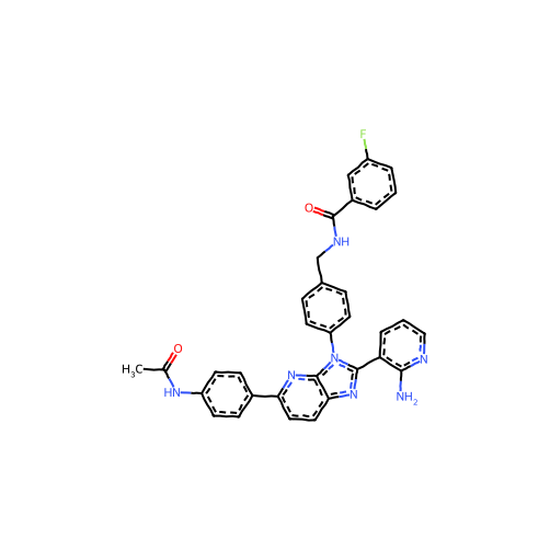 CC(=O)Nc1ccc(-c2ccc3nc(-c4cccnc4N)n(-c4ccc(CNC(=O)c5cccc(F)c5)cc4)c3n2)cc1